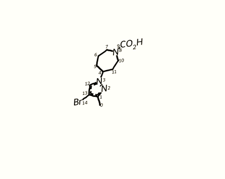 Cc1nn(C2CCCN(C(=O)O)CC2)cc1Br